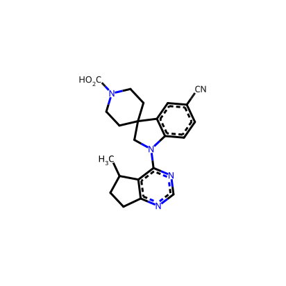 CC1CCc2ncnc(N3CC4(CCN(C(=O)O)CC4)c4cc(C#N)ccc43)c21